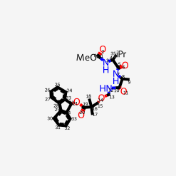 COC(=O)NC(C(=O)NC(C)C(=O)NCOCC(C)(C)C(=O)OC1c2ccccc2-c2ccccc21)C(C)C